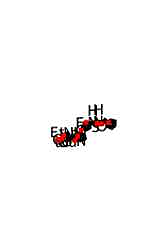 CC[C@@H](C(=N)C(=O)c1cc2nccc(Oc3ccc(NC(=S)NC(=O)Cc4ccccc4)cc3F)c2s1)C(=O)OC(C)(C)C